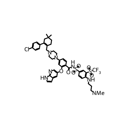 CNCCCNc1ccc(S(=O)(=O)NC(=O)c2ccc(N3CCN(CC4=C(c5ccc(Cl)cc5)CC(C)(C)CC4)CC3)cc2Oc2cnc3[nH]ccc3c2)cc1S(=O)(=O)C(F)(F)F